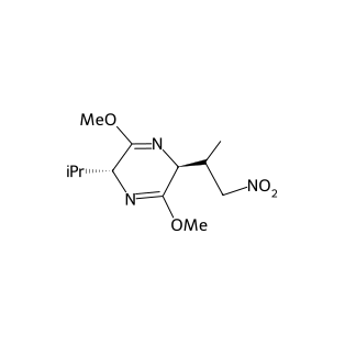 COC1=N[C@H](C(C)C)C(OC)=N[C@H]1C(C)C[N+](=O)[O-]